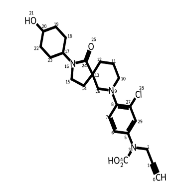 C#CCN(C(=O)O)c1ccc(N2CCCC3(CCN(C4CCC(O)CC4)C3=O)C2)c(Cl)c1